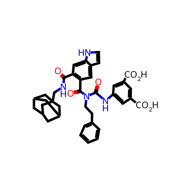 O=C(O)c1cc(NC(=O)N(CCc2ccccc2)C(=O)c2cc3cc[nH]c3cc2C(=O)NCC23CC4CC(CC(C4)C2)C3)cc(C(=O)O)c1